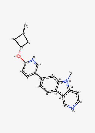 CC[C@H]1C[C@H](Oc2ccc(-c3ccc4c5cnccc5n(C)c4c3)cn2)C1